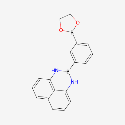 c1cc(B2Nc3cccc4cccc(c34)N2)cc(B2OCCO2)c1